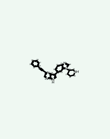 C(#Cc1cnc2[nH]cc(-c3ccc4ncn(C5CCCNC5)c4c3)c2n1)c1ccccc1